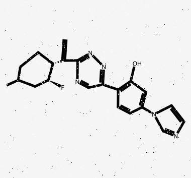 C=C(c1ncc(-c2ccc(-n3ccnc3)cc2O)nn1)[C@H]1CCC(C)C[C@@H]1F